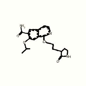 CC(C)Oc1cc2c(OCCC3CCNC3=O)nccc2cc1C(N)=O